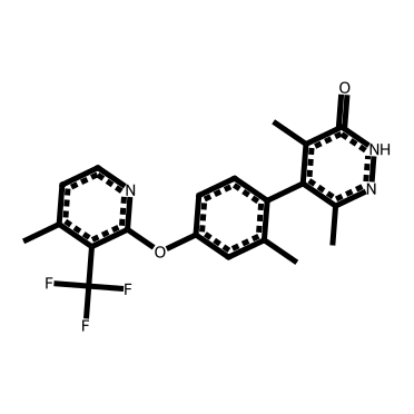 Cc1cc(Oc2nccc(C)c2C(F)(F)F)ccc1-c1c(C)n[nH]c(=O)c1C